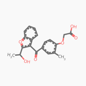 Cc1cc(C(=O)c2c(C(C)O)oc3ccccc23)ccc1OCC(=O)O